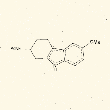 COc1ccc2[nH]c3c(c2c1)CCC(NC(C)=O)C3